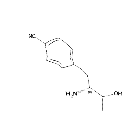 CC(O)[C@H](N)Cc1ccc(C#N)cc1